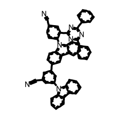 N#Cc1cc(-c2ccc3c(c2)c2ccccc2n3-c2ccc(C#N)cc2-c2nc(-c3ccccc3)nc(-c3ccccc3)n2)cc(-n2c3ccccc3c3ccccc32)c1